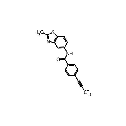 Cc1nc2cc(NC(=O)c3ccc(C#CC(F)(F)F)cc3)ccc2s1